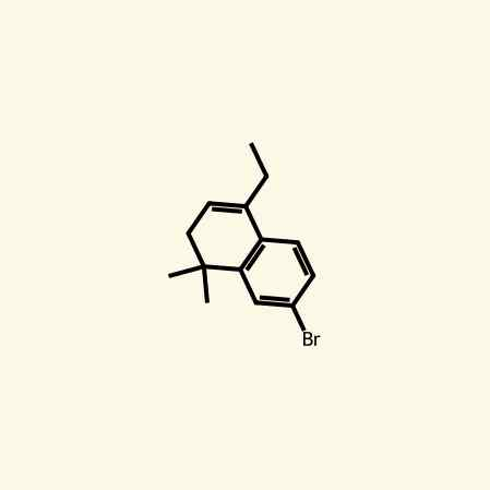 CCC1=CCC(C)(C)c2cc(Br)ccc21